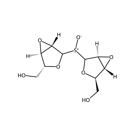 [O-][S+](C1O[C@H](CO)[C@H]2O[C@H]12)C1O[C@H](CO)[C@H]2O[C@H]12